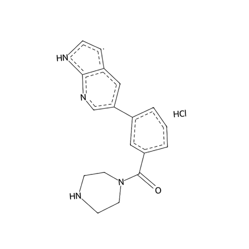 Cl.O=C(c1cccc(-c2cnc3[nH]c[c]c3c2)c1)N1CCNCC1